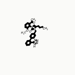 CCCCc1cn(-c2c(OC)cccc2C(C)=O)c(=O)n1Cc1ccc(-c2ccccc2-c2nnn[nH]2)cc1